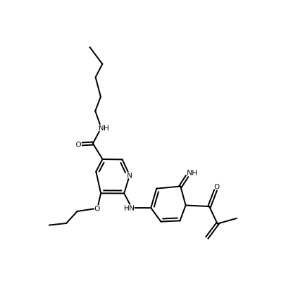 C=C(C)C(=O)C1C=CC(Nc2ncc(C(=O)NCCCCC)cc2OCCC)=CC1=N